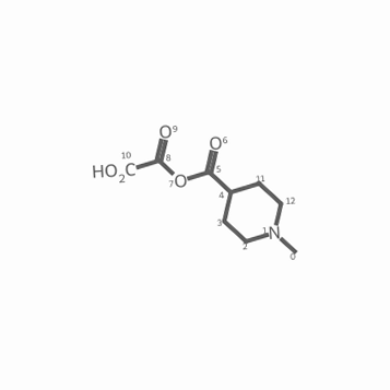 CN1CCC(C(=O)OC(=O)C(=O)O)CC1